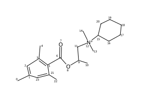 Cc1cc(C)c(C(=O)OC(C)C[N+](C)(C)C2CCCCC2)c(C)c1